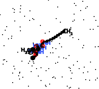 CCCCCCCCCCCCCCCCCCNC(=O)CC[C@H]1NC(=O)c2cc(Oc3cccc(N(C)C)c3)c(NC(=O)COCc3ccccc3)cc2NC1=O